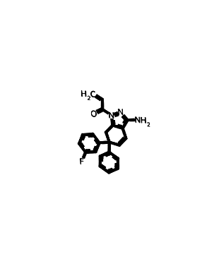 C=CC(=O)n1nc(N)c2c1CC(c1ccccc1)(c1cccc(F)c1)C=C2